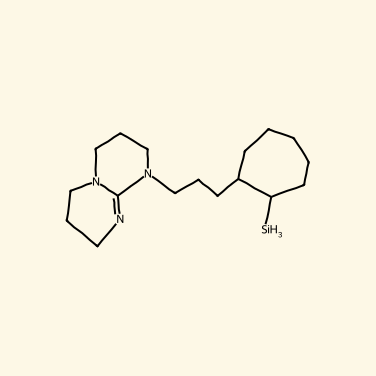 [SiH3]C1CCCCCC1CCCN1CCCN2CCCN=C21